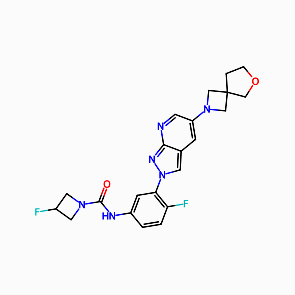 O=C(Nc1ccc(F)c(-n2cc3cc(N4CC5(CCOC5)C4)cnc3n2)c1)N1CC(F)C1